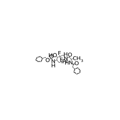 CC(C)CC(NC(=O)OCc1ccccc1)C(O)C(F)(F)CNC(=O)C(C)NC(=O)Cc1ccccc1